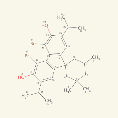 CC1CC(C)(C)CC(c2cc(Br)c(O)c(C(C)C)c2)(c2cc(Br)c(O)c(C(C)C)c2)C1